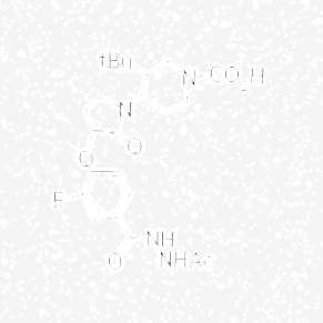 CC(=O)NNC(=O)c1ccc(OC2CCN(C3CCN(C(=O)O)CC3C(C)(C)C)C2=O)c(F)c1